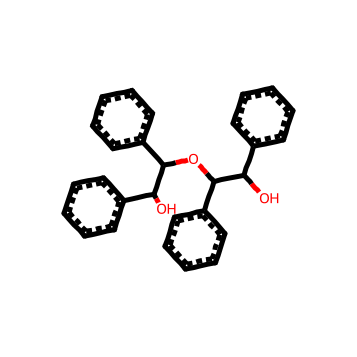 OC(c1ccccc1)C(OC(c1ccccc1)C(O)c1ccccc1)c1ccccc1